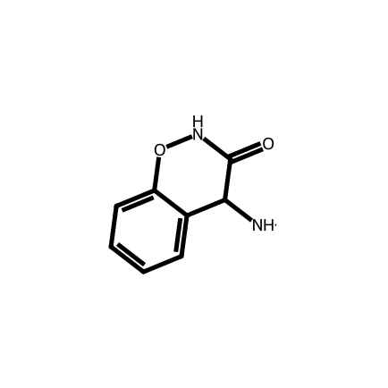 [NH]C1C(=O)NOc2ccccc21